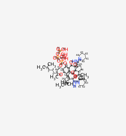 CC(C)=CCCC1(C)C=Cc2c(c(CC=C(C)C)c3c(c2OP(=O)(O)OP(=O)(O)OP(=O)(O)O)C(=O)C2C(NN4CCCCC4)C4CC5C(C)(C)OC(C/C=C(/C)C(=O)NN6CCCCC6)(C4=O)C25O3)O1